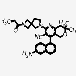 C=CC(=O)N1CC2(CCN(c3nc4c(c(-c5cccc6cc(N)ccc56)c3C#N)COC(C)(C)C4)C2)C1